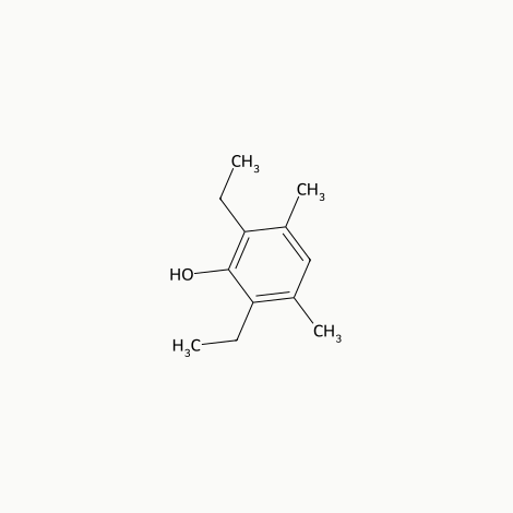 CCc1c(C)cc(C)c(CC)c1O